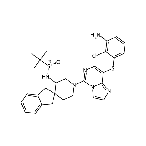 CC(C)(C)[S@@+]([O-])NC1CN(c2ncc(Sc3cccc(N)c3Cl)c3nccn23)CCC12Cc1ccccc1C2